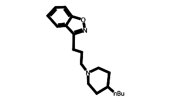 CCCCC1CCN(CCCc2noc3ccccc23)CC1